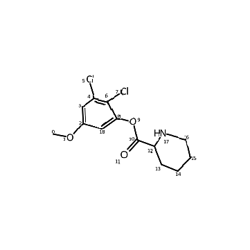 COc1cc(Cl)c(Cl)c(OC(=O)C2CCCCN2)c1